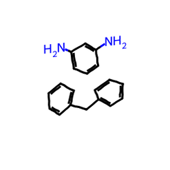 Nc1cccc(N)c1.c1ccc(Cc2ccccc2)cc1